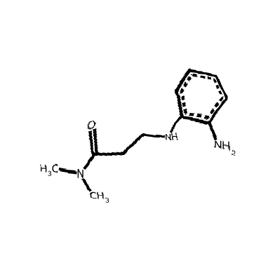 CN(C)C(=O)CCNc1ccccc1N